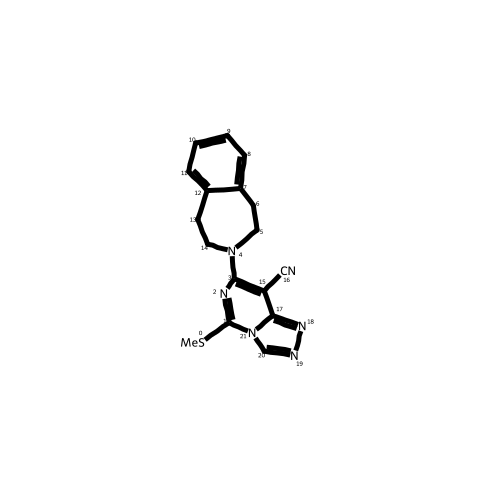 CSc1nc(N2CCc3ccccc3CC2)c(C#N)c2nncn12